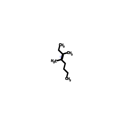 CCCC/C(C)=C(\C)CC